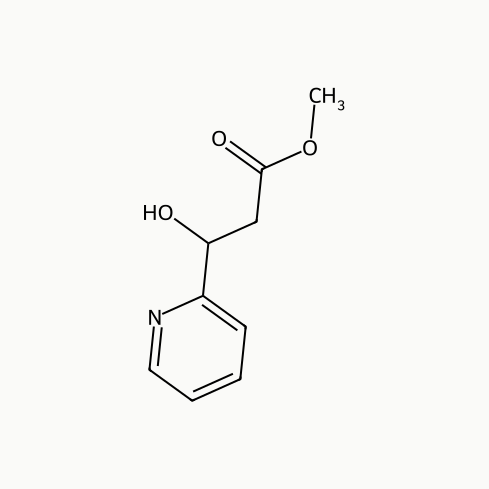 COC(=O)CC(O)c1ccccn1